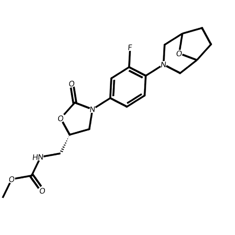 COC(=O)NC[C@H]1CN(c2ccc(N3CC4CCC(C3)O4)c(F)c2)C(=O)O1